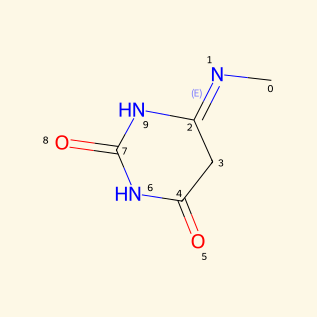 C/N=C1\CC(=O)NC(=O)N1